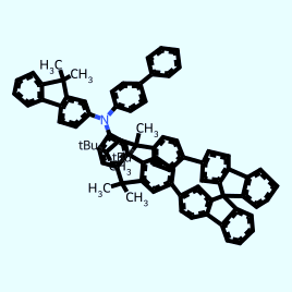 CC(CC(C)(c1ccc(-c2ccc3c(c2)C2(c4ccccc4-3)c3ccccc3-c3ccc(-c4ccc5c(c4)C(C)(C)c4ccc(N(c6ccc(-c7ccccc7)cc6)c6ccc7c(c6)C(C)(C)c6ccccc6-7)cc4-5)cc32)cc1)C(C)(C)C)C(C)(C)C